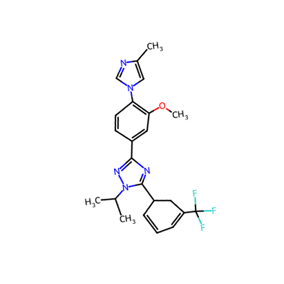 COc1cc(-c2nc(C3C=CC=C(C(F)(F)F)C3)n(C(C)C)n2)ccc1-n1cnc(C)c1